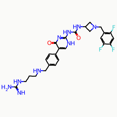 N=C(N)NCCCNCc1ccc(-c2c[nH]c(NC(=O)NC3CN(Cc4cc(F)c(F)cc4F)C3)nc2=O)cc1